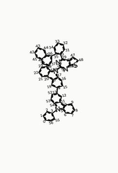 c1ccc(-n2c3ccccc3c3cc(-c4ccc5c(c4)c4ccccc4n5-c4nc(-c5ccccc5-c5cccc6ccccc56)c5ccsc5n4)ccc32)cc1